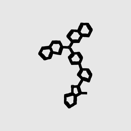 Cc1c(-c2cccc(-c3ccc(N(c4ccc5ccccc5c4)c4ccc5ccccc5c4)cc3)c2)oc2ccccc12